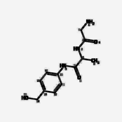 CC(NC(=O)CN)C(=O)Nc1ccc(CO)cc1